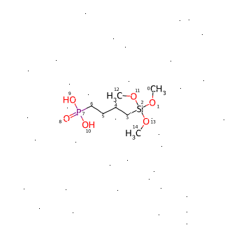 CO[Si](CCCCP(=O)(O)O)(OC)OC